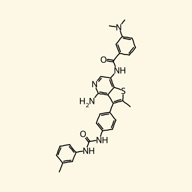 Cc1cccc(NC(=O)Nc2ccc(-c3c(C)sc4c(NC(=O)c5cccc(N(C)C)c5)cnc(N)c34)cc2)c1